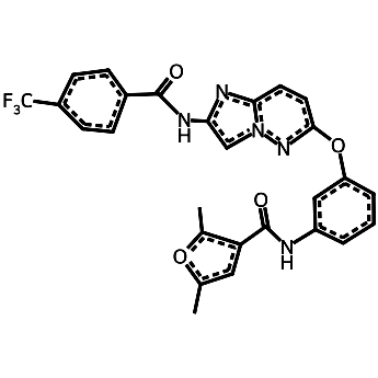 Cc1cc(C(=O)Nc2cccc(Oc3ccc4nc(NC(=O)c5ccc(C(F)(F)F)cc5)cn4n3)c2)c(C)o1